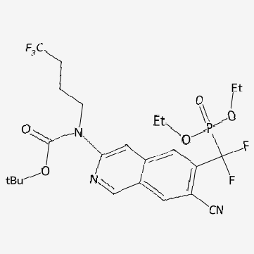 CCOP(=O)(OCC)C(F)(F)c1cc2cc(N(CCCC(F)(F)F)C(=O)OC(C)(C)C)ncc2cc1C#N